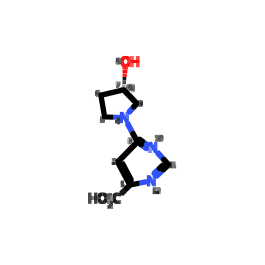 O=C(O)c1cc(N2CC[C@H](O)C2)ncn1